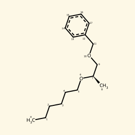 CCCCCCO[C@H](C)COCc1ccccc1